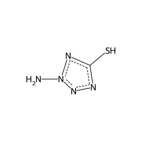 Nn1nnc(S)n1